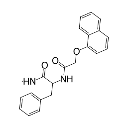 [NH]C(=O)C(Cc1ccccc1)NC(=O)COc1cccc2ccccc12